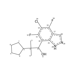 CC(C)(C1CCCC1)C(O)c1c(F)c(Cl)c(F)c2cn[nH]c12